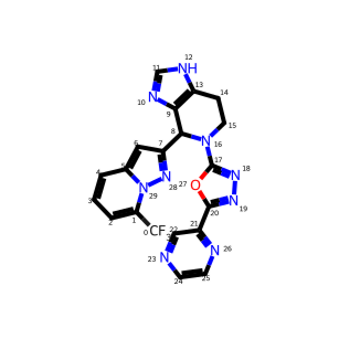 FC(F)(F)c1cccc2cc(C3c4nc[nH]c4CCN3c3nnc(-c4cnccn4)o3)nn12